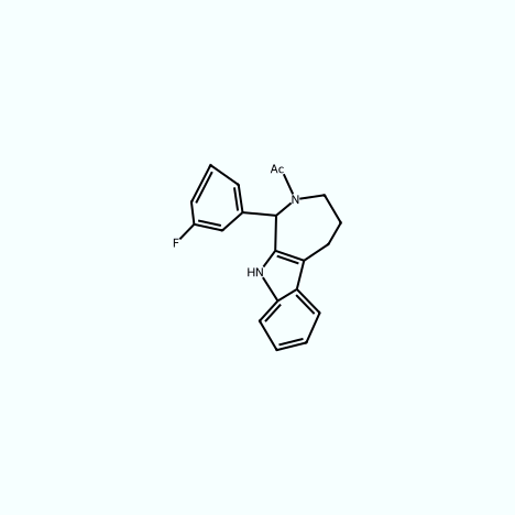 CC(=O)N1CCCc2c([nH]c3ccccc23)C1c1cccc(F)c1